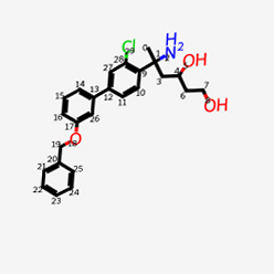 CC(N)(CC(O)CCO)c1ccc(-c2cccc(OCc3ccccc3)c2)cc1Cl